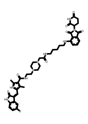 Cc1[nH]c(/C=C2\C(=O)Nc3ccc(F)cc32)c(C)c1C(=O)NCCN1CCN(CC(=O)NCCCCCNc2cccc3c2C(=O)N(C2CCC(=O)NC2=O)C3=O)CC1